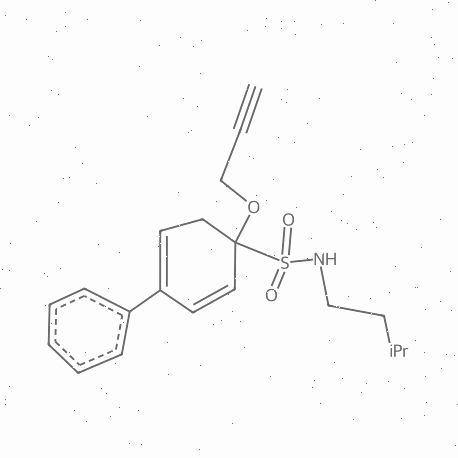 C#CCOC1(S(=O)(=O)NCCC(C)C)C=CC(c2ccccc2)=CC1